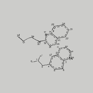 CC(C)Cc1ccc2ncccc2c1.CCCCc1ccc2ccccc2n1